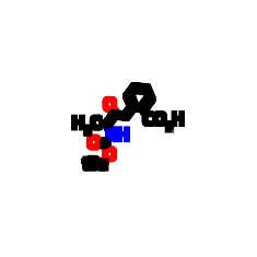 C[C@H](NC(=O)OC(C)(C)C)C(=O)Cc1ccccc1C(=O)O